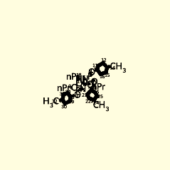 CCCOP(N=P(NP(OCCC)Oc1ccc(C)cc1)(OCCC)Oc1ccc(C)cc1)Oc1ccc(C)cc1